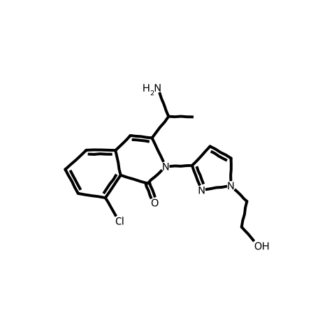 CC(N)c1cc2cccc(Cl)c2c(=O)n1-c1ccn(CCO)n1